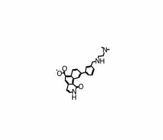 COC(=O)c1cc2cc[nH]c(=O)c2c2cc(-c3cccc(CNCCN(C)C)c3)ccc12